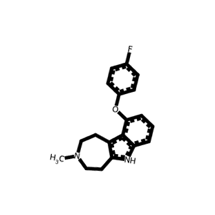 CN1CCc2[nH]c3cccc(Oc4ccc(F)cc4)c3c2CC1